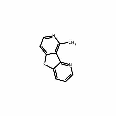 Cc1nccc2sc3cccnc3c12